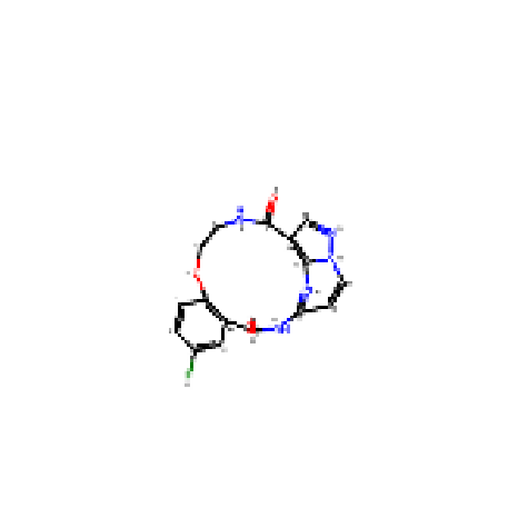 O=C1NCCOc2ccc(F)cc2C2(CCC2)Nc2ccn3ncc1c3n2